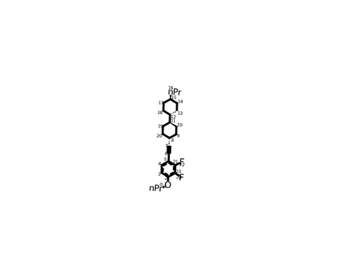 CCCOc1ccc(C#C[C@H]2CC[C@H]([C@H]3CC[C@H](CCC)CC3)CC2)c(F)c1F